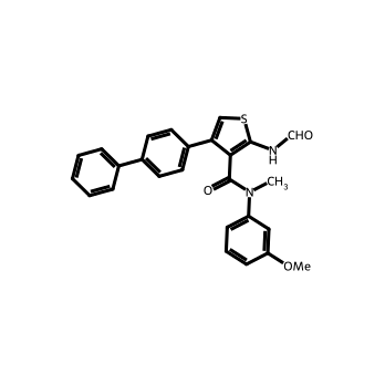 COc1cccc(N(C)C(=O)c2c(-c3ccc(-c4ccccc4)cc3)csc2NC=O)c1